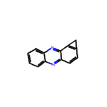 c1ccc2nc3c4c(ccc3nc2c1)C4